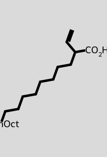 C=CC(CCCCCCCCCCCCCCCC)C(=O)O